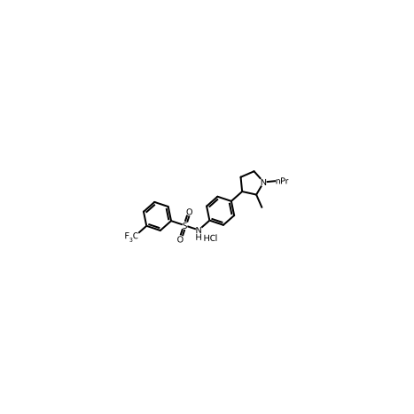 CCCN1CCC(c2ccc(NS(=O)(=O)c3cccc(C(F)(F)F)c3)cc2)C1C.Cl